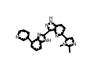 Cc1ncc(-c2ccc3[nH]nc(-c4nc5c(-c6cccnc6)cccc5[nH]4)c3n2)n1C